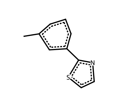 Cc1cccc(-c2nccs2)c1